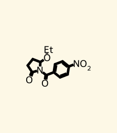 CCOC1CCC(=O)N1C(=O)c1ccc([N+](=O)[O-])cc1